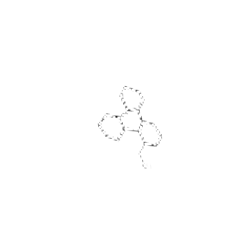 OCc1cccc2c3ccccc3c3ccccc3c12